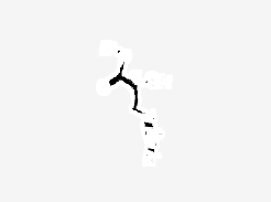 CCOC(=O)[C@H](O)CN=[N+]=[N-]